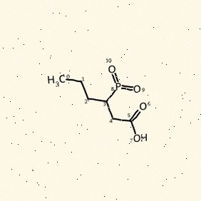 CCCC(CC(=O)O)P(=O)=O